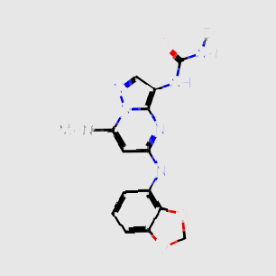 CCNC(=O)Nc1cnn2c(NC)cc(Nc3cccc4c3OCO4)nc12